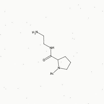 CC(=O)N1CCCC1C(=O)NCCN